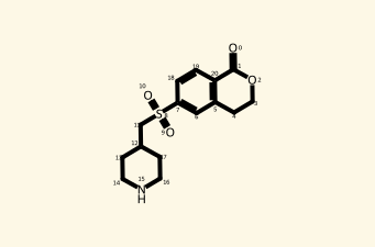 O=C1OCCc2cc(S(=O)(=O)CC3CCNCC3)ccc21